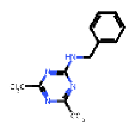 ClC(Cl)(Cl)c1nc(NCc2ccccc2)nc(C(Cl)(Cl)Cl)n1